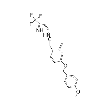 C=C/C=C(\C=C/CCCN/C=C\C(=N)C(F)(F)F)OCc1ccc(OC)cc1